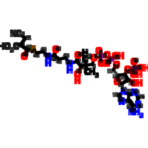 CC(C)(COP(=O)(O)OP(=O)(O)OC[C@H]1O[C@@H](n2cnc3c(N)ncnc32)[C@H](O)[C@@H]1OP(=O)(O)O)[C@@H](O)C(=O)NCCC(=O)NCCSC(=O)C(CC#N)C(=O)O